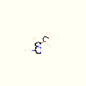 CC(=O)OC[C@H]1O[C@@](C#N)(c2ccc3c(N)ccnn23)[C@H](O)[C@@H]1O